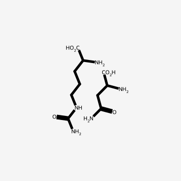 NC(=O)CC(N)C(=O)O.NC(=O)NCCCC(N)C(=O)O